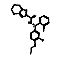 O=C(N[C@@H](c1ccc(OCF)c(F)c1)c1ncccc1F)c1cc2n(n1)CCCO2